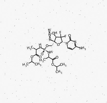 CC(C)OC(=O)C(C)NP(=O)(NC(C)C(=O)OC(C)C)OC[C@@]1(N=[N+]=[N-])O[C@@H](n2ccc(N)nc2=O)C(F)(F)[C@@H]1O